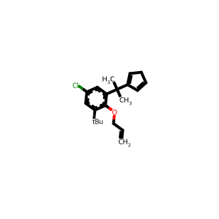 C=CCOc1c(C(C)(C)C)cc(Cl)cc1C(C)(C)C1=CCC=C1